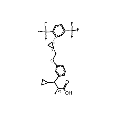 C[C@H](C(=O)O)C(c1cccc(OC[C@H]2C[C@@H]2c2cc(C(F)(F)F)ccc2C(F)(F)F)c1)C1CC1